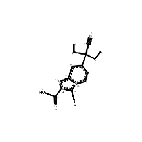 CCC(C#N)(CC)c1ccn2c(I)c(C(=O)O)nc2c1